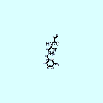 C=CC(=O)Nc1cn(Cc2cccc(C)c2)cn1